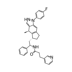 C[C@H]1C2=CNN(c3ccc(F)cc3)C2=CC2=C1[C@@H](CC(NC(=O)CCc1cccnc1)c1ccccc1)CC2